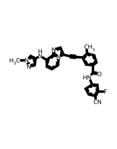 Cc1ccc(C(=O)Nc2ccc(C#N)c(F)c2)cc1C#Cc1cnc2c(Nc3cnn(C)c3)cccn12